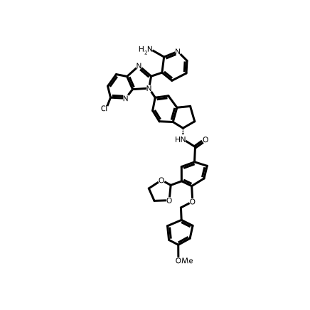 COc1ccc(COc2ccc(C(=O)N[C@H]3CCc4cc(-n5c(-c6cccnc6N)nc6ccc(Cl)nc65)ccc43)cc2C2OCCO2)cc1